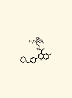 C[Si](C)(C)CCNC(=O)c1cc(-c2ccc(CN3CCOCC3)cc2)nc2ccc(F)cc12